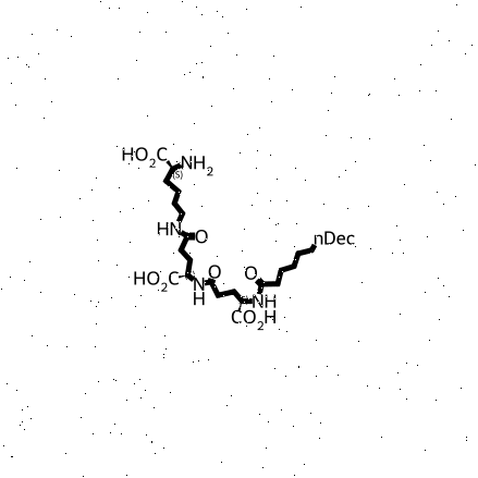 CCCCCCCCCCCCCCCC(=O)N[C@@H](CCC(=O)N[C@@H](CCC(=O)NCCCC[C@H](N)C(=O)O)C(=O)O)C(=O)O